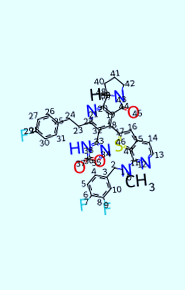 CN(Cc1ccc(F)c(F)c1)c1nccc2cc(-c3c4c(nc(CCc5ccc(F)cc5)c3-c3noc(=O)[nH]3)[C@@H]3CCCN3C4=O)sc12